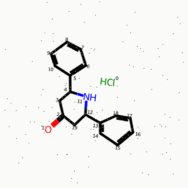 Cl.O=C1CC(c2ccccc2)NC(c2ccccc2)C1